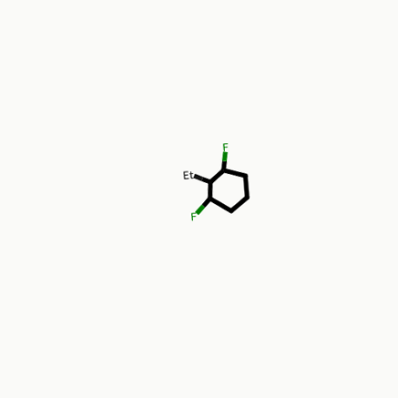 CCC1C(F)CCCC1F